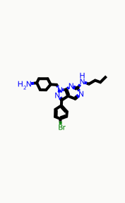 CCCCNc1ncc2c(-c3ccc(Br)cc3)nn(CC3CCC(N)CC3)c2n1